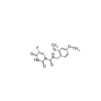 COc1ccc(CNC(=O)n2cc(F)c(=O)[nH]c2=O)c(OC)c1